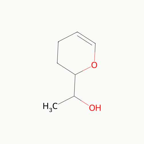 CC(O)C1CCC=CO1